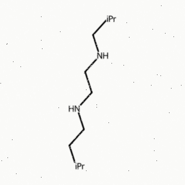 CC(C)CCNCCNCC(C)C